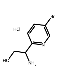 Cl.NC(CO)c1ccc(Br)cn1